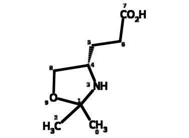 CC1(C)N[C@@H](CCC(=O)O)CO1